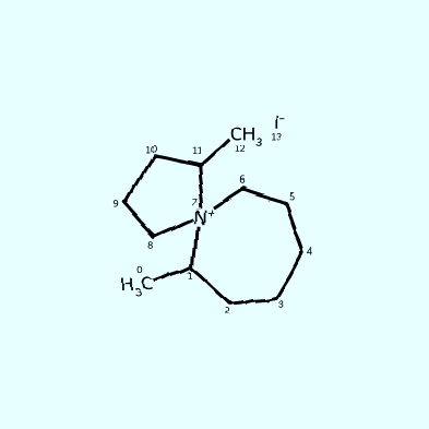 CC1CCCCC[N+]12CCCC2C.[I-]